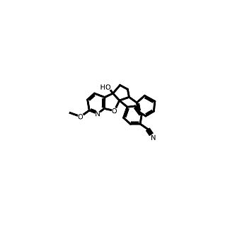 COc1ccc2c(n1)OC1(c3ccc(C#N)cc3)C(c3ccccc3)CCC21O